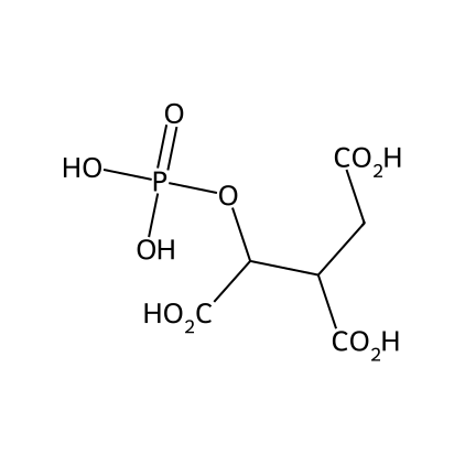 O=C(O)CC(C(=O)O)C(OP(=O)(O)O)C(=O)O